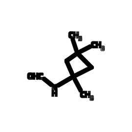 CC1(C)CC(C)(NC=O)C1